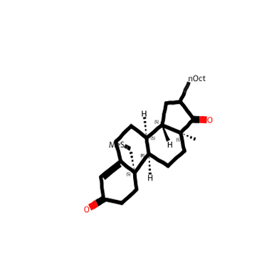 CCCCCCCCC1C[C@H]2[C@@H]3CCC4=CC(=O)CC[C@]4(CSC)[C@@H]3CC[C@]2(C)C1=O